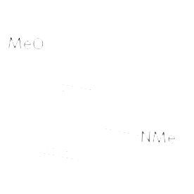 C[N]c1cccc(OC)c1